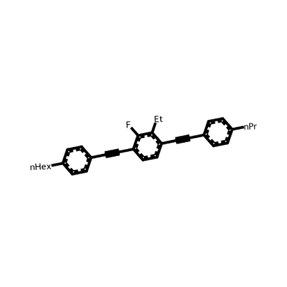 CCCCCCc1ccc(C#Cc2ccc(C#Cc3ccc(CCC)cc3)c(CC)c2F)cc1